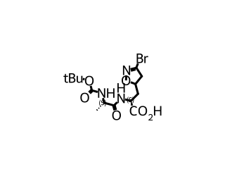 C[C@H](NC(=O)OC(C)(C)C)C(=O)N[C@@H](CC1CC(Br)=NO1)C(=O)O